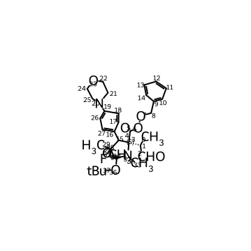 CC(C=O)[C@@](C(=O)OOCc1ccccc1)(C(c1ccc(N2CCOCC2)cc1)C(C)(C)F)N(C)C(=O)OC(C)(C)C